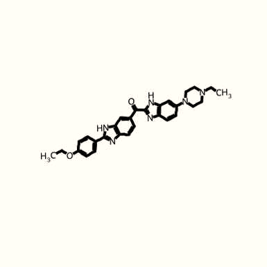 CCOc1ccc(-c2nc3ccc(C(=O)c4nc5ccc(N6CCN(CC)CC6)cc5[nH]4)cc3[nH]2)cc1